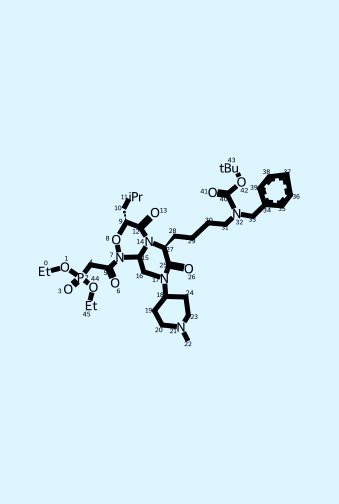 CCOP(=O)(CC(=O)N1O[C@H](CC(C)C)C(=O)N2C1CN(C1CCN(C)CC1)C(=O)[C@@H]2CCCCN(Cc1ccccc1)C(=O)OC(C)(C)C)OCC